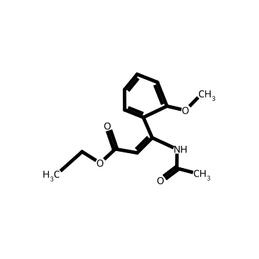 CCOC(=O)C=C(NC(C)=O)c1ccccc1OC